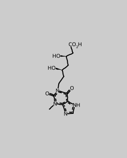 Cn1c(=O)n(CC[C@@H](O)C[C@@H](O)CC(=O)O)c(=O)c2[nH]cnc21